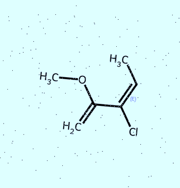 C=C(OC)/C(Cl)=C\C